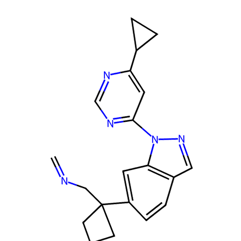 C=NCC1(c2ccc3cnn(-c4cc(C5CC5)ncn4)c3c2)CCC1